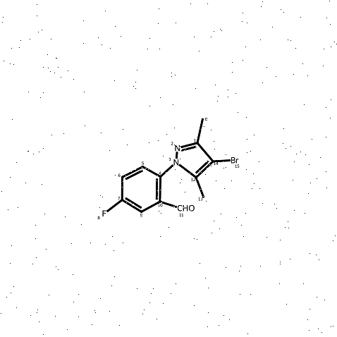 Cc1nn(-c2ccc(F)cc2C=O)c(C)c1Br